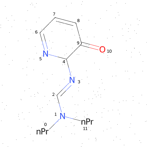 CCCN(C=NC1N=CC=CC1=O)CCC